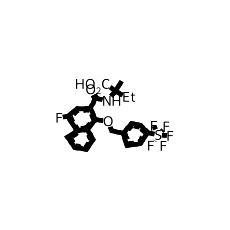 CCC(C)(NC(=O)c1cc(F)c2ccccc2c1OCc1ccc(S(F)(F)(F)(F)F)cc1)C(=O)O